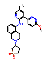 CCOc1ccc(-c2cc(C)cnc2Nc2cccc3c2CCN(C2CCS(=O)(=O)C2)C3)nn1